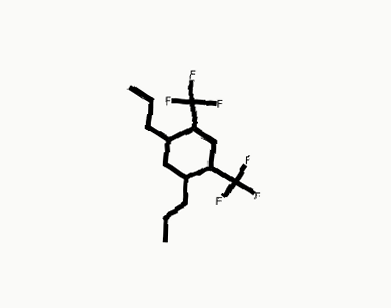 CCCC1CC(CCC)C(C(F)(F)F)CC1C(F)(F)F